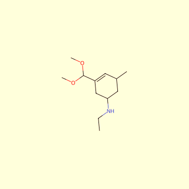 CCNC1CC(C(OC)OC)=CC(C)C1